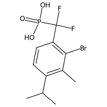 Cc1c(C(C)C)ccc(C(F)(F)P(=O)(O)O)c1Br